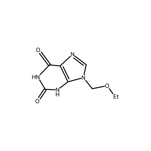 CCOCn1cnc2c(=O)[nH]c(=O)[nH]c21